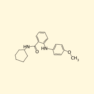 COc1ccc(Nc2ccccc2C(=O)NC2CCCCC2)cc1